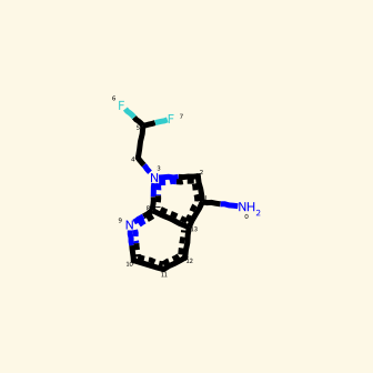 Nc1cn(CC(F)F)c2ncccc12